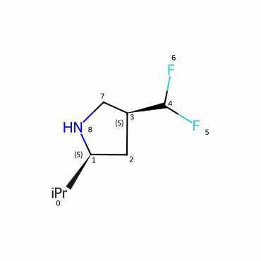 CC(C)[C@@H]1C[C@H](C(F)F)CN1